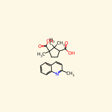 CC1(C(=O)O)CCC(C(=O)O)C1(C)C.Cc1ccc2ccccc2n1